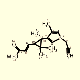 C#CCn1cc(C(F)(F)F)c([C@]2(C)C(C=CC(=O)OC)C2(C)C)c1